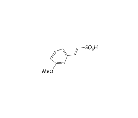 COc1cccc(/C=C/S(=O)(=O)O)c1